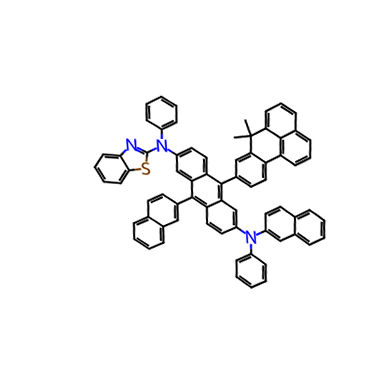 CC1(C)c2cc(-c3c4ccc(N(c5ccccc5)c5nc6ccccc6s5)cc4c(-c4ccc5ccccc5c4)c4ccc(N(c5ccccc5)c5ccc6ccccc6c5)cc34)ccc2-c2cccc3cccc1c23